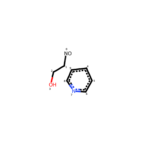 O=NCCO.c1ccncc1